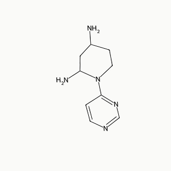 NC1CCN(c2ccncn2)C(N)C1